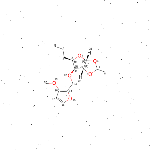 CCC[C@H]1O[C@@H]2OC(C)O[C@@H]2[C@H]1OCc1occc1OC